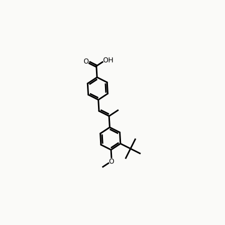 COc1ccc(C(C)=Cc2ccc(C(=O)O)cc2)cc1C(C)(C)C